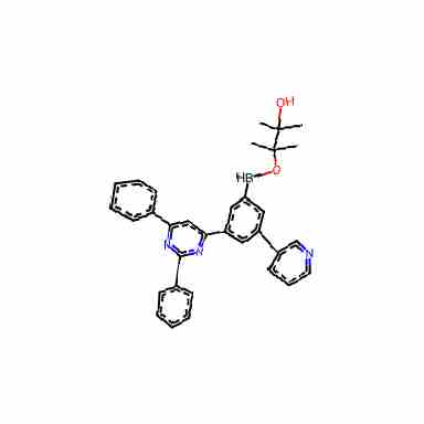 CC(C)(O)C(C)(C)OBc1cc(-c2cccnc2)cc(-c2cc(-c3ccccc3)nc(-c3ccccc3)n2)c1